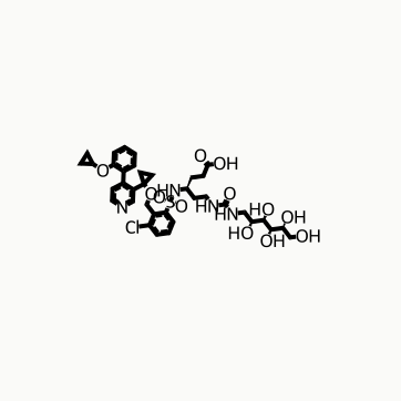 O=C(O)CC[C@@H](CCNC(=O)NC[C@H](O)[C@@H](O)[C@H](O)[C@H](O)CO)NS(=O)(=O)c1cccc(Cl)c1COC1(c2cnccc2-c2ccccc2OC2CC2)CC1